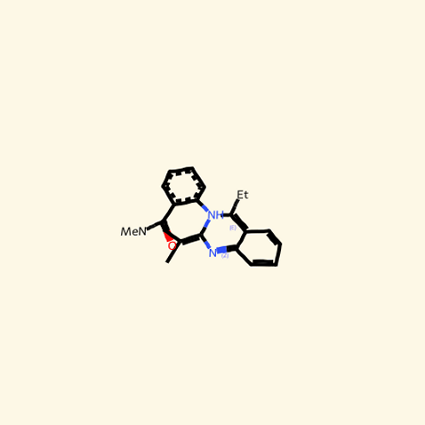 CC/C(C)=C1\C=CC=C\C1=N\C(Nc1ccccc1C(=O)NC)=C(C)C